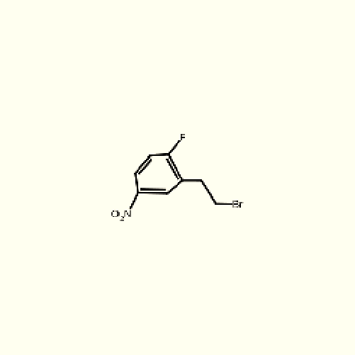 O=[N+]([O-])c1ccc(F)c(CCBr)c1